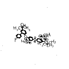 CC(C)(C)Oc1ccc(S(=O)(=O)c2ccc(Oc3ccc(C(C)(C)C)cc3-c3ccc(F)cc3)c(S(=O)(=O)O)c2)cc1S(=O)(=O)O